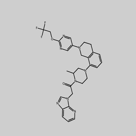 CC1CN(c2cccc3c2CN(c2cnc(OCC(F)(F)F)nc2)CC3)CCN1C(=O)Cn1cnc2cccnc21